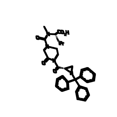 CC(C)[C@@H](C(=O)O)N(C)C(=O)N1CCN(C(=O)[C@@H]2CN2C(c2ccccc2)(c2ccccc2)c2ccccc2)C(=O)C1